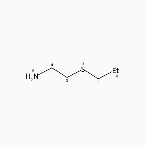 CCCSCCN